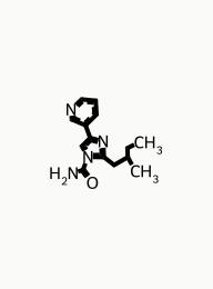 CCC(C)Cc1nc(-c2cccnc2)cn1C(N)=O